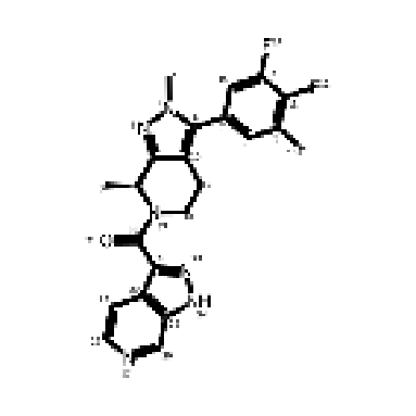 C[C@H]1c2nn(C)c(-c3cc(F)c(F)c(F)c3)c2CCN1C(=O)c1n[nH]c2cnccc12